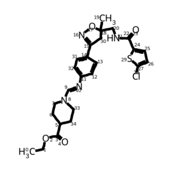 CCOC(=O)C1CCN(/C=N/c2ccc(C3=NOC(C)(CNC(=O)c4ccc(Cl)s4)C3)cc2)CC1